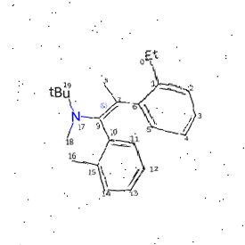 CCc1ccccc1/C(C)=C(\c1ccccc1C)N(C)C(C)(C)C